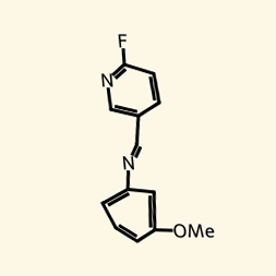 COc1cccc(N=Cc2ccc(F)nc2)c1